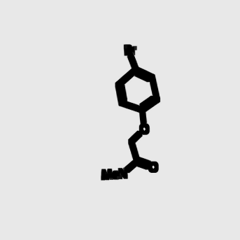 CNC(=O)COc1ccc(Br)cc1